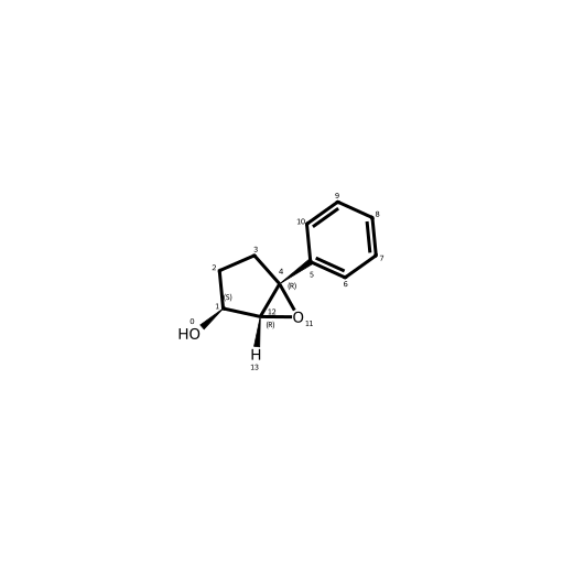 O[C@H]1CC[C@]2(c3ccccc3)O[C@H]12